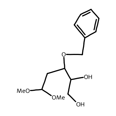 COC(CC(OCc1ccccc1)C(O)CO)OC